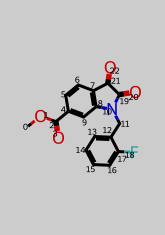 COC(=O)c1ccc2c(c1)N(Cc1ccccc1F)C(=O)C2=O